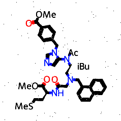 CC[C@H](C)[C@@H](CN(CC(=O)N[C@@H](CCSC)C(=O)OC)Cc1cccc2ccccc12)N(C(C)=O)c1cncn1Cc1ccc(C(=O)OC)cc1